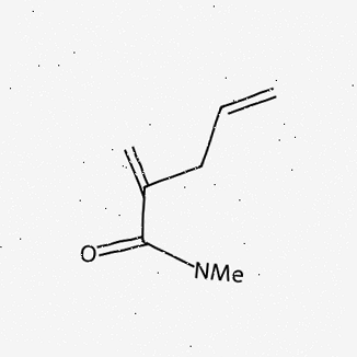 C=CCC(=C)C(=O)NC